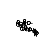 COC(=O)c1sc(-c2ccc(-c3cc4ncccn4n3)cc2)cc1N(C(=O)[C@H]1CC[C@H](C)CC1)C1CCC2(CC1)OCCO2